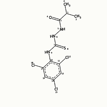 CC(C)C(=O)NNC(=S)Nc1c(Cl)cc(Cl)cc1Cl